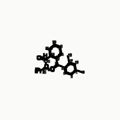 Cc1ccc(C(=O)c2ccccc2[PH](=O)OC(C)C)c(C)c1